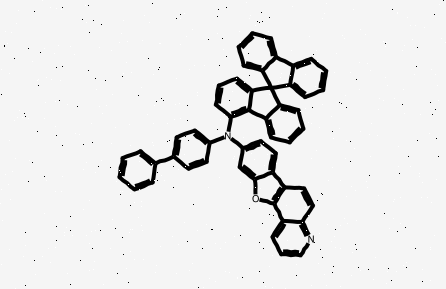 c1ccc(-c2ccc(N(c3ccc4c(c3)oc3c5cccnc5ccc43)c3cccc4c3-c3ccccc3C43c4ccccc4-c4ccccc43)cc2)cc1